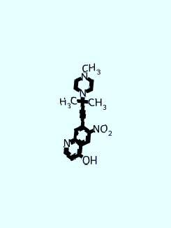 CN1CCN(C(C)(C)C#Cc2cc3nccc(O)c3cc2[N+](=O)[O-])CC1